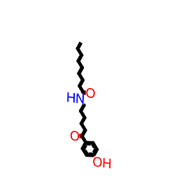 CCCCCCCCC(=O)NCCCCCC(=O)c1ccc(O)cc1